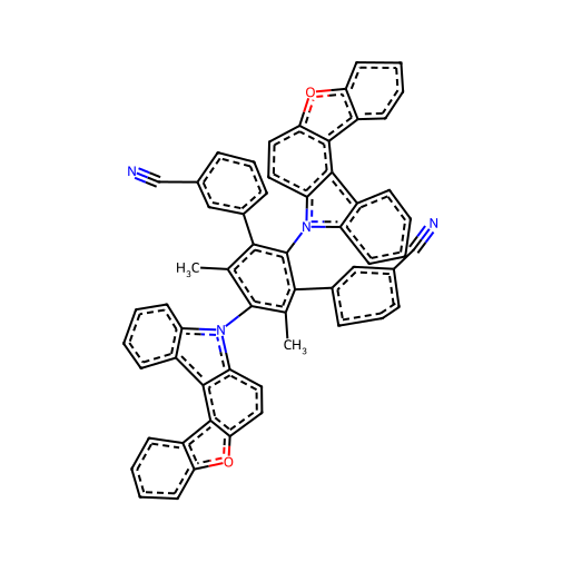 Cc1c(-c2cccc(C#N)c2)c(-n2c3ccccc3c3c4c(ccc32)oc2ccccc24)c(-c2cccc(C#N)c2)c(C)c1-n1c2ccccc2c2c3c(ccc21)oc1ccccc13